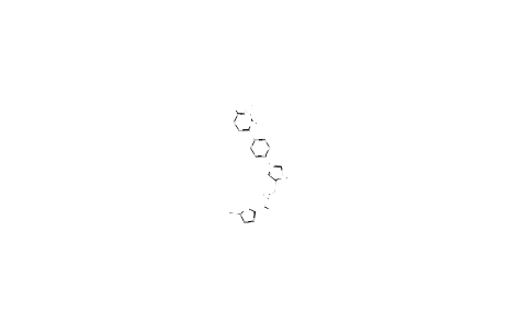 Cn1nc(-c2ccc(-n3cnc(CNC(=O)c4ccc(Cl)s4)c3)cc2)ccc1=O